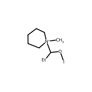 CCC(OI)[N+]1(C)CCCCC1